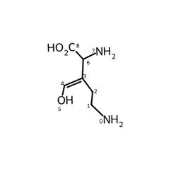 NCCC(=CO)C(N)C(=O)O